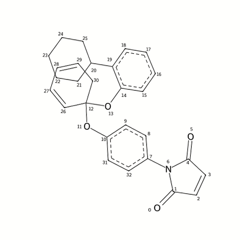 O=C1C=CC(=O)N1c1ccc(OC2(Oc3ccccc3C3CCCCC3)C=CC=CC2)cc1